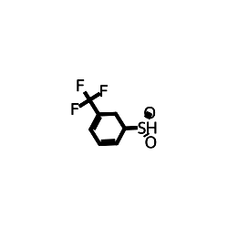 O=[SH](=O)C1C=CC=C(C(F)(F)F)C1